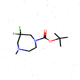 CN1CCN(C(=O)OC(C)(C)C)CC(F)(F)C1